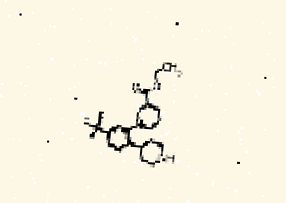 CCOC(=O)C1CCCN(c2cc(C(F)(F)F)ccc2C2CCNCC2)C1